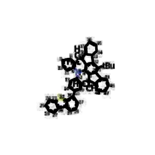 CC(C)(C)c1c2c(c(N(c3ccccc3)c3ccc(-c4cccc5c4sc4ccccc45)cc3)c3c1C1CC=CC=C1C3(C)C)C(C)(C)c1ccccc1-2